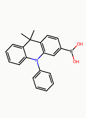 CC1(C)c2ccccc2N(c2ccccc2)c2cc(B(O)O)ccc21